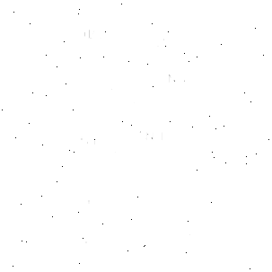 CC(C)(C)c1cc(NC(=O)c2cccc(I)c2)no1